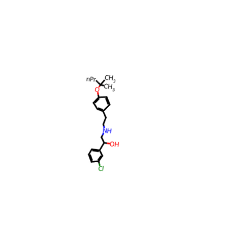 CCCC(C)(C)Oc1ccc(CCNCC(O)c2cccc(Cl)c2)cc1